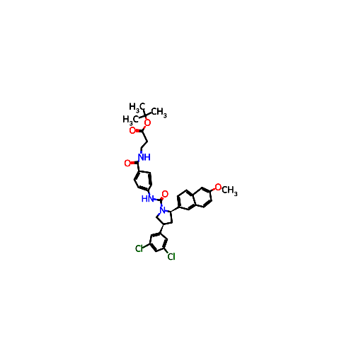 COc1ccc2cc([C@H]3C[C@@H](c4cc(Cl)cc(Cl)c4)CN3C(=O)Nc3ccc(C(=O)NCCC(=O)OC(C)(C)C)cc3)ccc2c1